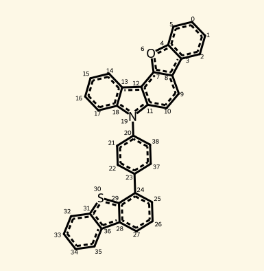 c1ccc2c(c1)oc1c2ccc2c1c1ccccc1n2-c1ccc(-c2cccc3c2sc2ccccc23)cc1